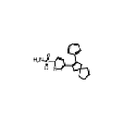 NS(=O)(=O)c1ccc(C2=C(c3ccccc3)CC3(CCCC3)C2)cn1